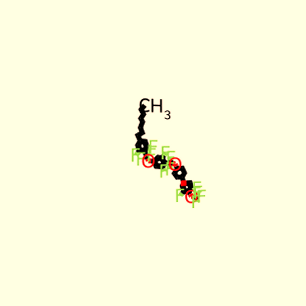 CCCCCCCCc1cc(F)c(C(F)(F)Oc2cc(F)c(C(F)(F)OC3CCC(c4cc(F)c(OC(F)(F)F)c(F)c4)CC3)c(F)c2)c(F)c1